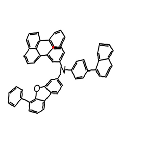 c1ccc(-c2cccc3c2oc2cc(N(c4ccc(-c5cccc6ccccc56)cc4)c4cccc(-c5cccc6cccc(-c7ccccc7)c56)c4)ccc23)cc1